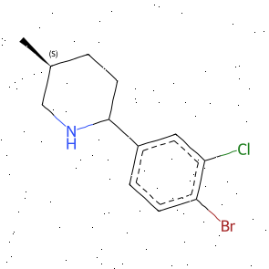 C[C@H]1CCC(c2ccc(Br)c(Cl)c2)NC1